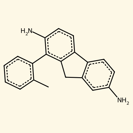 Cc1ccccc1-c1c(N)ccc2c1Cc1cc(N)ccc1-2